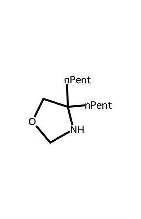 CCCCCC1(CCCCC)COCN1